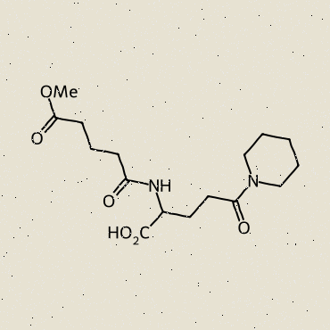 COC(=O)CCCC(=O)NC(CCC(=O)N1CCCCC1)C(=O)O